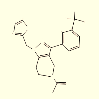 CC(=O)N1CCc2c(c(-c3cccc(C(F)(F)F)c3)nn2Cc2nccs2)C1